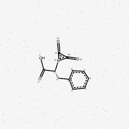 O=C(O)[C@@H](Cc1ccccc1)n1c(=O)c1=O